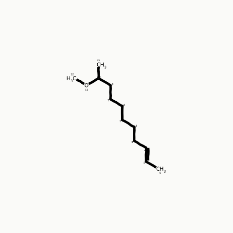 CC=CCCCCCCC(C)OC